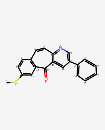 CSc1ccc2ccc3ncc(-c4ccccc4)cc3c(=O)c2c1